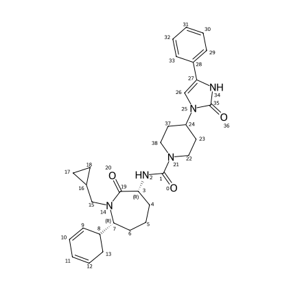 O=C(N[C@@H]1CCC[C@H](C2C=CC=CC2)N(CC2CC2)C1=O)N1CCC(n2cc(-c3ccccc3)[nH]c2=O)CC1